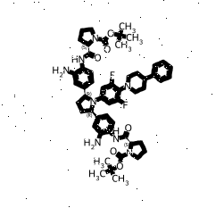 CC(C)(C)OC(=O)N1CCC[C@H]1C(=O)Nc1ccc([C@H]2CC[C@H](c3ccc(NC(=O)[C@@H]4CCCN4C(=O)OC(C)(C)C)c(N)c3)N2c2cc(F)c(N3CCC(c4ccccc4)CC3)c(F)c2)cc1N